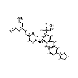 Cl.NCCN(CCN)CCN1CCC(Nc2cc(C(F)(F)F)cc3c2Nc2ccc(N4CCCC4)cc2S3)CC1